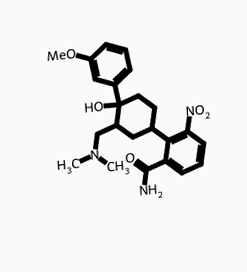 COc1cccc(C2(O)CCC(c3c(C(N)=O)cccc3[N+](=O)[O-])CC2CN(C)C)c1